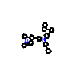 c1ccc(-c2ccc(N(c3ccc(-c4ccc(-c5ccccc5-n5c6ccccc6c6ccccc65)cc4)cc3)c3ccc(-c4ccccc4-c4cccc5ccccc45)cc3)cc2)cc1